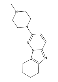 CN1CCN(c2ccc3nc4c(n3n2)CCCC4)CC1